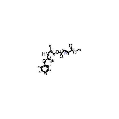 COC(=O)/C=C/C(=O)OC[C@@H](C)NC(=O)Oc1ccccc1